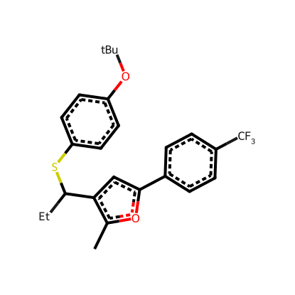 CCC(Sc1ccc(OC(C)(C)C)cc1)c1cc(-c2ccc(C(F)(F)F)cc2)oc1C